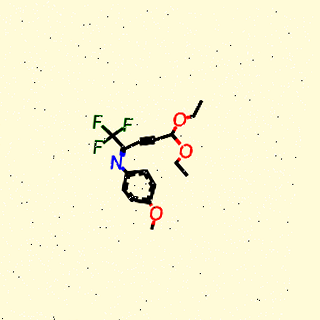 CCOC(C#C/C(=N\c1ccc(OC)cc1)C(F)(F)F)OCC